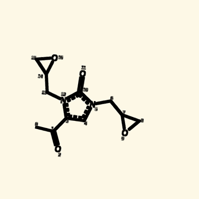 CC(=O)c1cn(CC2CO2)c(=O)n1CC1CO1